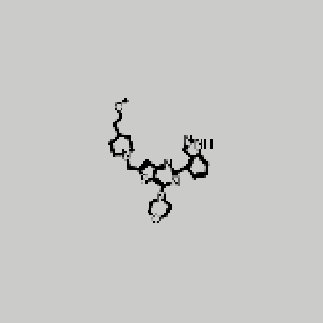 COCCC1CCN(Cc2cc3nc(-c4cccc5[nH]ncc45)nc(N4CCOCC4)c3s2)CC1